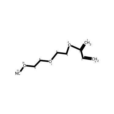 C=CC(=C)OCCOCCOC#N